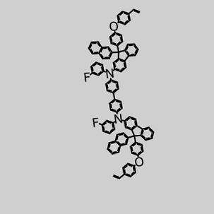 C=Cc1ccc(Oc2ccc(C3(c4ccc5ccccc5c4)c4ccccc4-c4ccc(N(c5ccc(-c6ccc(N(c7cccc(F)c7)c7ccc8c(c7)C(c7ccc(Oc9ccc(C=C)cc9)cc7)(c7ccc9ccccc9c7)c7ccccc7-8)cc6)cc5)c5cccc(F)c5)cc43)cc2)cc1